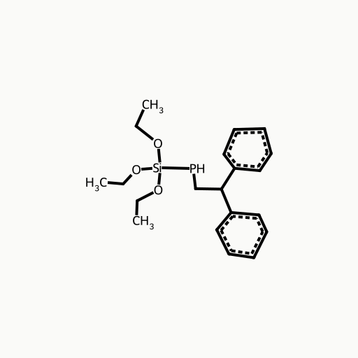 CCO[Si](OCC)(OCC)PCC(c1ccccc1)c1ccccc1